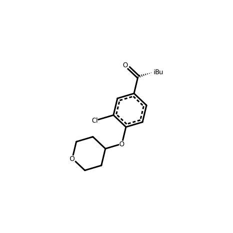 CC[C@@H](C)C(=O)c1ccc(OC2CCOCC2)c(Cl)c1